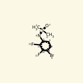 CS(C)(=O)=Nc1ccc(Br)c(F)c1F